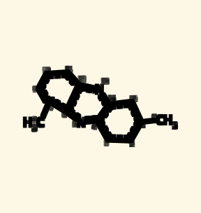 Cc1ccc2nc3c(C)cccc3nc2c1